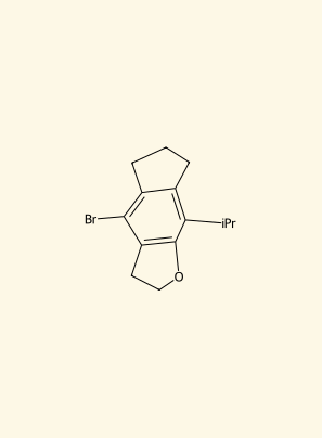 CC(C)c1c2c(c(Br)c3c1OCC3)CCC2